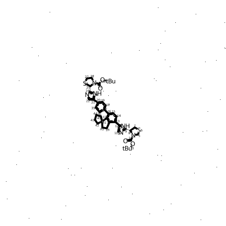 CC(C)(C)OC(=O)N1CSC[C@H]1c1ncc(-c2ccc(-c3ccc(-c4cnc([C@@H]5SCCN5C(=O)OC(C)(C)C)[nH]4)cc3)c3c2CCC32CCCC2)[nH]1